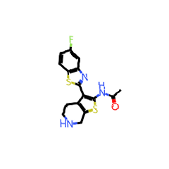 CC(=O)Nc1sc2c(c1-c1nc3cc(F)ccc3s1)CCNC2